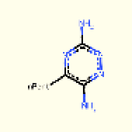 CCCCCc1nc(N)nnc1N